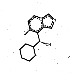 O[C@H](c1c(I)ccn2cncc12)C1CCCCC1